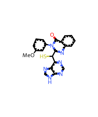 COc1cccc(-n2c(C(S)c3ncnc4[nH]cnc34)nc3ccccc3c2=O)c1